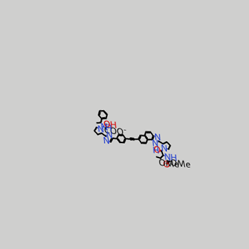 COC(=O)N[C@H](C(=O)N1CCCC1c1nc2ccc3cc(C#Cc4ccc(-c5cnc(C6CCCN6[N+](O)(C(=O)[O-])C(C)c6ccccc6)[nH]5)cc4)ccc3c2[nH]1)[C@@H](C)OC